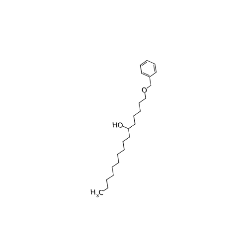 CCCCCCCCCCC(O)CCCCCOCc1ccccc1